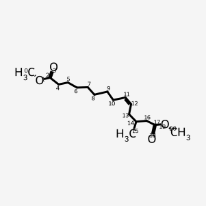 COC(=O)CCCCCCC/C=C\CC(C)CC(=O)OC